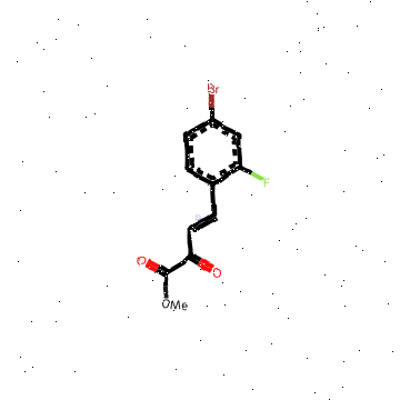 COC(=O)C(=O)/C=C/c1ccc(Br)cc1F